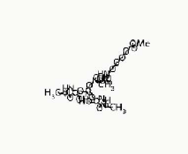 C/C=C1\C[C@H]2C=Nc3cc(OCc4cc(OCCN(C)CC(C)(C)SCC(=O)NCCOCCOCCOCCOCCC(=O)OC)cc(COc5cc6c(cc5CO)C(=O)N5C/C(=C/C)C[C@H]5C=N6)n4)c(CO)cc3C(=O)N2C1